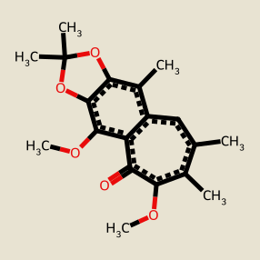 COc1c(C)c(C)cc2c(C)c3c(c(OC)c2c1=O)OC(C)(C)O3